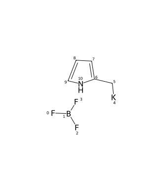 FB(F)F.[K][CH2]c1ccc[nH]1